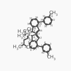 Cc1cccc(-c2cccc3c2C=C[CH]3[Hf]([CH3])([CH3])([CH3])(=[CH]CC(C)C)[CH]2C=Cc3c(-c4cccc(C)c4)cccc32)c1